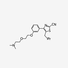 CC(C)Cc1sc(C#N)nc1-c1cccc(OCCOCCN(C)C)c1